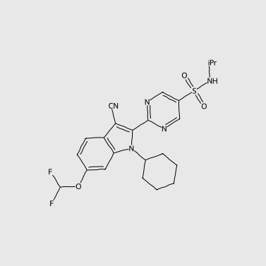 CC(C)NS(=O)(=O)c1cnc(-c2c(C#N)c3ccc(OC(F)F)cc3n2C2CCCCC2)nc1